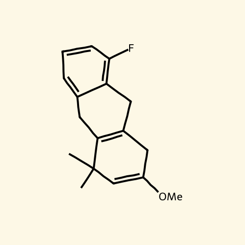 COC1=CC(C)(C)C2=C(C1)Cc1c(F)cccc1C2